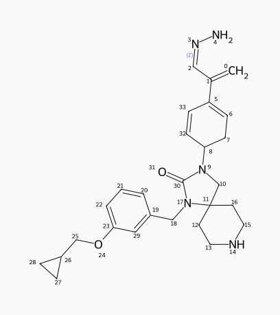 C=C(/C=N\N)C1=CCC(N2CC3(CCNCC3)N(Cc3cccc(OCC4CC4)c3)C2=O)C=C1